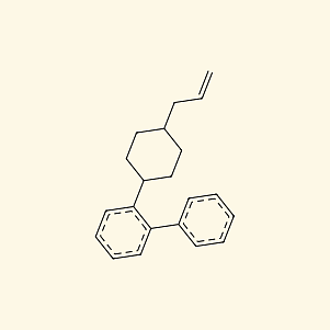 C=CCC1CCC(c2ccccc2-c2ccccc2)CC1